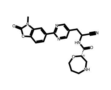 Cn1c(=O)oc2ccc(-c3ncc(CC(C#N)NC(=O)[C@@H]4CNCCCO4)cn3)cc21